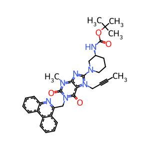 CC#CCn1c(N2CCC[C@H](NC(=O)OC(C)(C)C)C2)nc2c1c(=O)n(Cc1nc3ccccc3c3ccccc13)c(=O)n2C